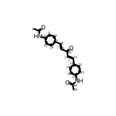 CC(=O)Nc1ccc(/C=C/C(=O)/C=C/c2ccc(NC(C)=O)cc2)cc1